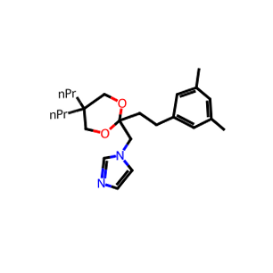 CCCC1(CCC)COC(CCc2cc(C)cc(C)c2)(Cn2ccnc2)OC1